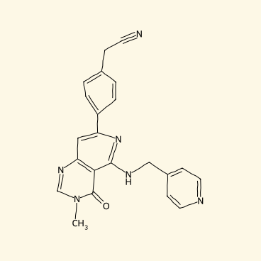 Cn1cnc2cc(-c3ccc(CC#N)cc3)nc(NCc3ccncc3)c2c1=O